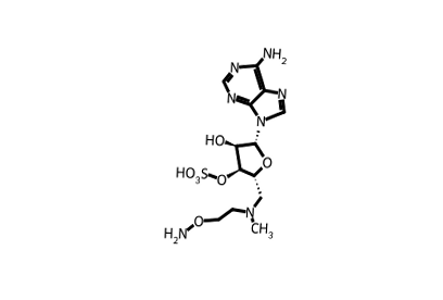 CN(CCON)C[C@H]1O[C@@H](n2cnc3c(N)ncnc32)[C@H](O)[C@@H]1OS(=O)(=O)O